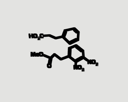 COC(=O)CCc1cccc([N+](=O)[O-])c1[N+](=O)[O-].O=C(O)CCc1ccccc1